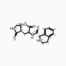 COC(=O)C(C[C@@H]1CCNC1=O)NC(=O)[C@H]1NCCc2ccccc21